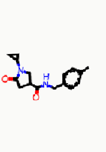 Cc1ccc(CNC(=O)C2CC(=O)N(C3CC3)C2)cc1